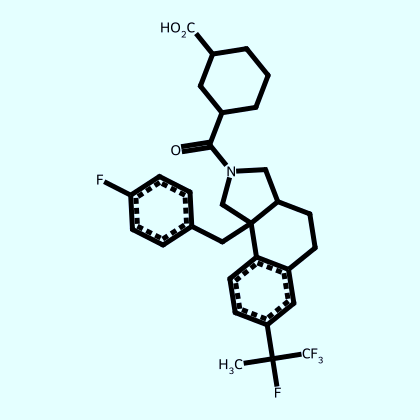 CC(F)(c1ccc2c(c1)CCC1CN(C(=O)C3CCCC(C(=O)O)C3)CC21Cc1ccc(F)cc1)C(F)(F)F